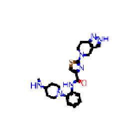 CNC1CCN(c2ccccc2NC(=O)c2csc(N3CCc4n[nH]cc4C3)n2)CC1